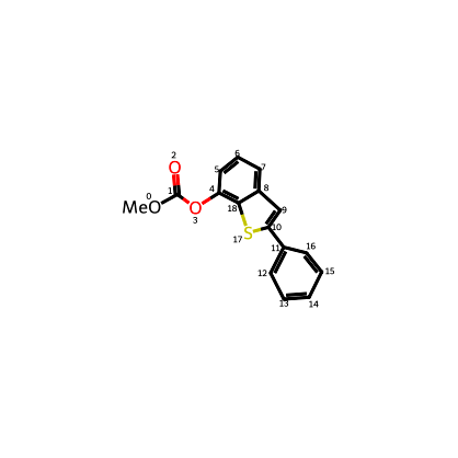 COC(=O)Oc1cccc2cc(-c3ccccc3)sc12